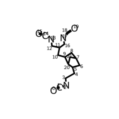 O=C=NCCC1CC2CC(CC(CN=C=O)CN=C=O)C1C2